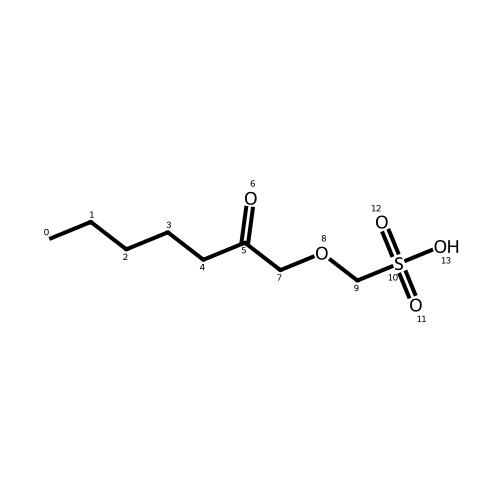 CCCCCC(=O)COCS(=O)(=O)O